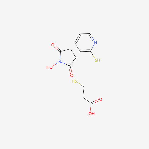 O=C(O)CCS.O=C1CCC(=O)N1O.Sc1ccccn1